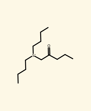 CCCC[S+](CCCC)CC(=O)CCC